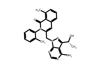 Cc1ccccc1-n1c(Cn2nc([C@@H](C)O)c3c(N)ncnc32)cc2cccc(C)c2c1=O